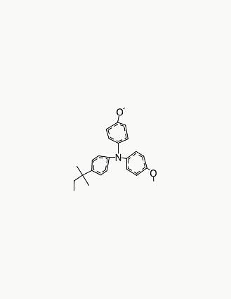 CCC(C)(C)c1ccc(N(c2ccc(OC)cc2)c2ccc(OC)cc2)cc1